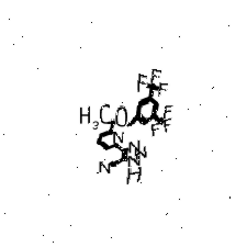 CC(OCc1cc(C(F)(F)F)cc(C(F)(F)F)c1)c1cccc(-c2nn[nH]c2C#N)n1